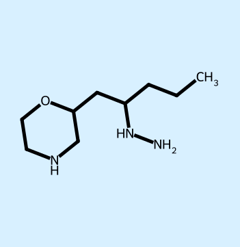 CCCC(CC1CNCCO1)NN